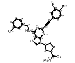 CNC(=O)C1CCC(n2cnc3c(NCc4cccc(Cl)c4)nc(C#Cc4ccc(F)c(F)c4)nc32)C1